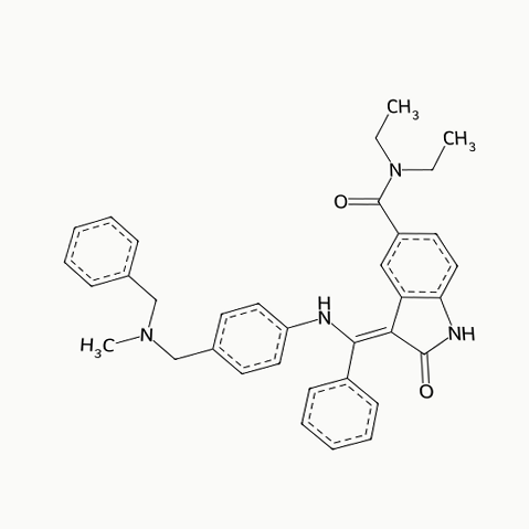 CCN(CC)C(=O)c1ccc2c(c1)C(=C(Nc1ccc(CN(C)Cc3ccccc3)cc1)c1ccccc1)C(=O)N2